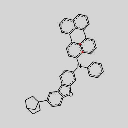 c1ccc(-c2cccc3cccc(-c4ccc(N(c5ccccc5)c5ccc6c(c5)oc5ccc(C78CCC(CC7)C8)cc56)cc4)c23)cc1